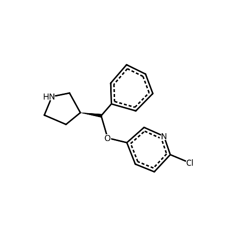 Clc1ccc(OC(c2ccccc2)[C@H]2CCNC2)cn1